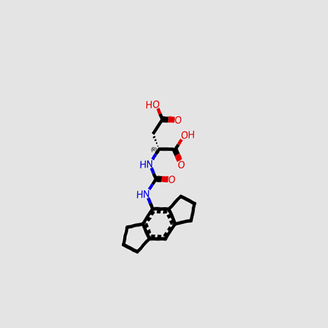 O=C(O)C[C@@H](NC(=O)Nc1c2c(cc3c1CCC3)CCC2)C(=O)O